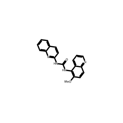 COc1ccc2ncccc2c1NC(=O)Nc1ccc2ccccc2n1